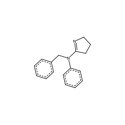 c1ccc(CN(C2=NCCC2)c2ccccc2)cc1